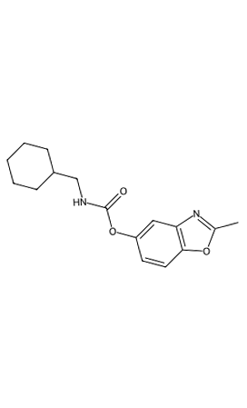 Cc1nc2cc(OC(=O)NCC3CCCCC3)ccc2o1